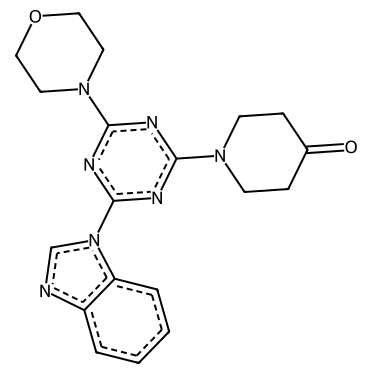 O=C1CCN(c2nc(N3CCOCC3)nc(-n3cnc4ccccc43)n2)CC1